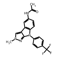 CC(=O)Nc1ccc2c(c1)c1cn(C)nc1n2-c1ccc(C(F)(F)F)cc1